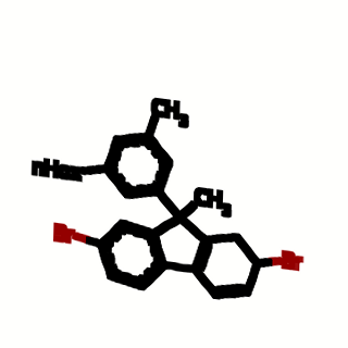 CCCCCCc1cc(C)cc(C2(C)C3=C(C=CC(Br)C3)c3ccc(Br)cc32)c1